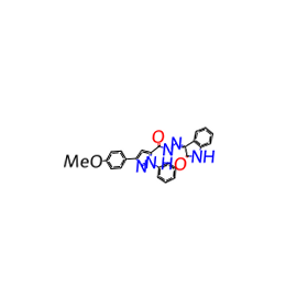 COc1ccc(-c2cc(C(=O)N/N=C3\C(=O)Nc4ccccc43)n(-c3ccccc3)n2)cc1